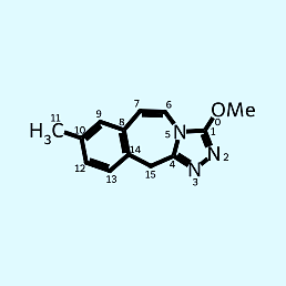 COc1nnc2n1C=Cc1cc(C)ccc1C2